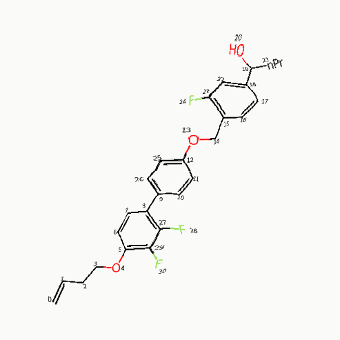 C=CCCOc1ccc(-c2ccc(OCc3ccc(C(O)CCC)cc3F)cc2)c(F)c1F